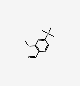 COc1cc([N+](C)(C)C)ccc1C=O